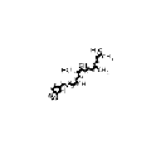 CC(C)=CCCC(C)=CCCC(C)=CCCC(C)=CCNCc1ccc2c(c1)OCO2.Cl